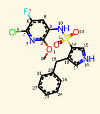 COc1nc(Cl)c(F)cc1NS(=O)(=O)c1c[nH]cc1Cc1ccccc1